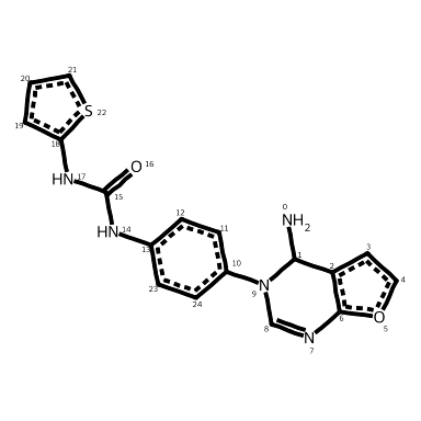 NC1c2ccoc2N=CN1c1ccc(NC(=O)Nc2cccs2)cc1